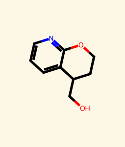 OCC1CCOc2ncccc21